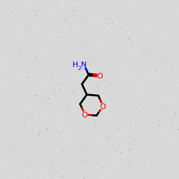 NC(=O)CC1COCOC1